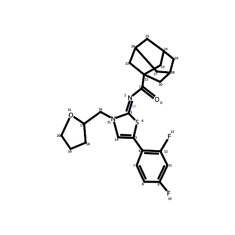 O=C(/N=c1\sc(-c2ccc(F)cc2F)cn1CC1CCCO1)C12CC3CC(CC(C3)C1)C2